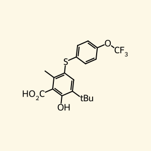 Cc1c(Sc2ccc(OC(F)(F)F)cc2)cc(C(C)(C)C)c(O)c1C(=O)O